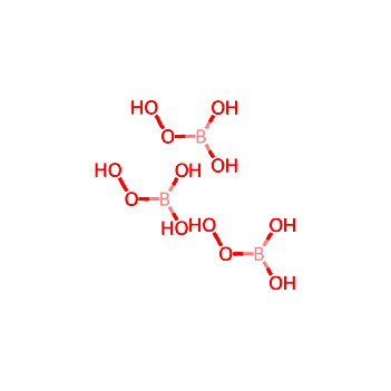 OOB(O)O.OOB(O)O.OOB(O)O